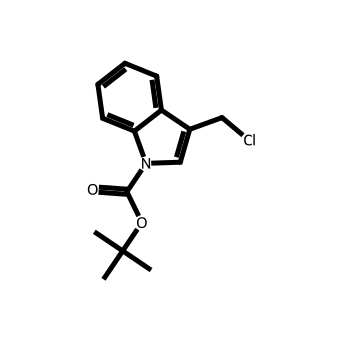 CC(C)(C)OC(=O)n1cc(CCl)c2ccccc21